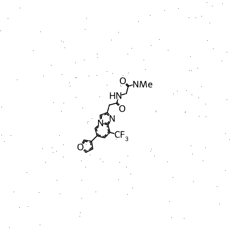 CNC(=O)CNC(=O)Cc1cn2cc(-c3ccoc3)cc(C(F)(F)F)c2n1